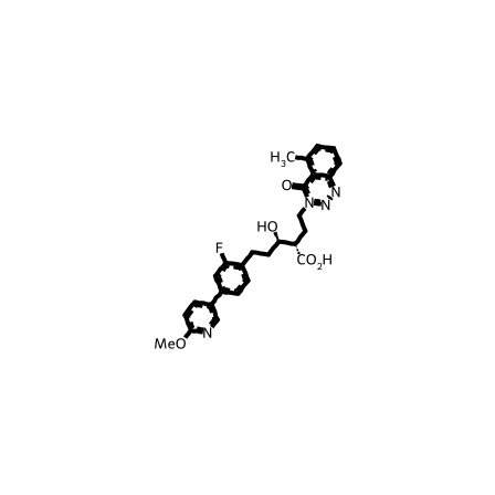 COc1ccc(-c2ccc(CC[C@@H](O)[C@H](CCn3nnc4cccc(C)c4c3=O)C(=O)O)c(F)c2)cn1